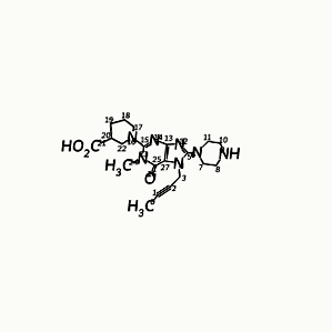 CC#CCn1c(N2CCNCC2)nc2nc(N3CCCC(C(=O)O)C3)n(C)c(=O)c21